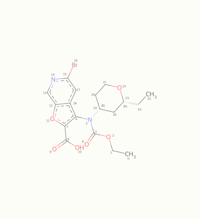 CCOC(=O)N(c1c(C(=O)O)oc2cnc(Br)cc12)[C@@H]1CCO[C@H](CC)C1